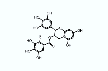 O=C(OC1Cc2c(O)cc(O)cc2O[C@@H]1c1cc(O)c(O)c(O)c1)c1cc(O)c(O)c(O)c1F